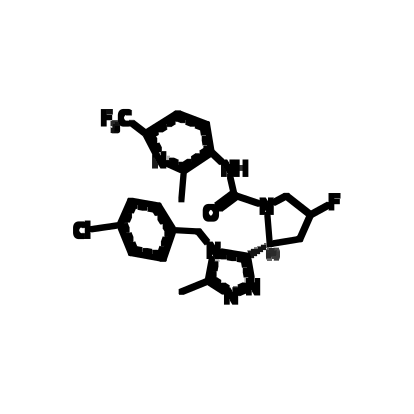 Cc1nc(C(F)(F)F)ccc1NC(=O)N1CC(F)C[C@@H]1c1nnc(C)n1Cc1ccc(Cl)cc1